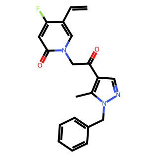 C=Cc1cn(CC(=O)c2cnn(Cc3ccccc3)c2C)c(=O)cc1F